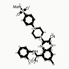 CNS(=O)(=O)c1ccc(N2CCN(c3nc4c([C@@H](C)Nc5ccccc5C(=O)O)cc(C)cc4nc3C#N)CC2)cc1